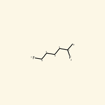 CC(F)CCCCF